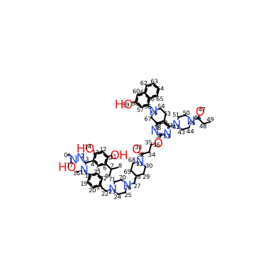 C=N/N=C(/c1cc(C(C)C)c(O)cc1O)N(CO)c1ccc(CN2CCN(CC3CCN(C(=O)CCOc4nc5c(c(N6CCN(C(=O)CC)CC6)n4)CCN(c4cc(O)cc6ccccc46)C5)CC3)CC2)cc1